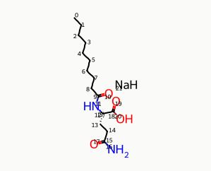 CCCCCCCCCC(=O)N[C@@H](CCC(N)=O)C(=O)O.[NaH]